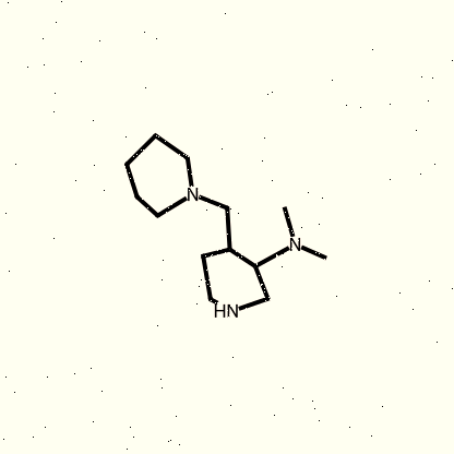 CN(C)C1CNCCC1CN1CCCCC1